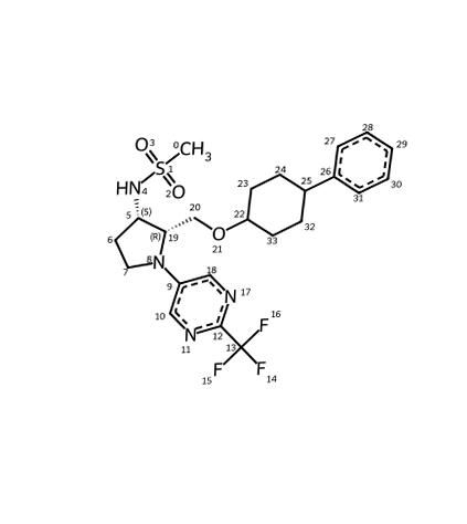 CS(=O)(=O)N[C@H]1CCN(c2cnc(C(F)(F)F)nc2)[C@H]1COC1CCC(c2ccccc2)CC1